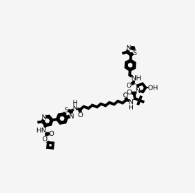 Cc1ncc(-c2ccc3nc(NC(=O)CCCCCCCCCCC(=O)N[C@H](C(=O)N4C[C@H](O)C[C@H]4C(=O)NCc4ccc(-c5scnc5C)cc4)C(C)(C)C)sc3c2)cc1NC(=O)OC1CCC1